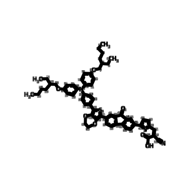 CCCCC(CC)COc1ccc(N(c2ccc(OCC(CC)CCCC)cc2)c2ccc(-c3sc(-c4ccc5c(c4)C(=O)c4cc(-c6ccc(C=C(C#N)C(=O)O)s6)ccc4-5)c4c3OCCO4)cc2)cc1